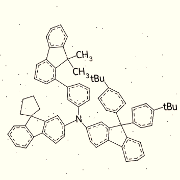 CC(C)(C)c1ccc(C2(c3ccc(C(C)(C)C)cc3)c3ccccc3-c3ccc(N(c4cccc(-c5cccc6c5C(C)(C)c5ccccc5-6)c4)c4ccc5c(c4)C4(CCCC4)c4ccccc4-5)cc32)cc1